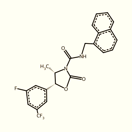 C[C@H]1[C@@H](c2cc(F)cc(C(F)(F)F)c2)OC(=O)N1C(=O)NCc1cccc2ccccc12